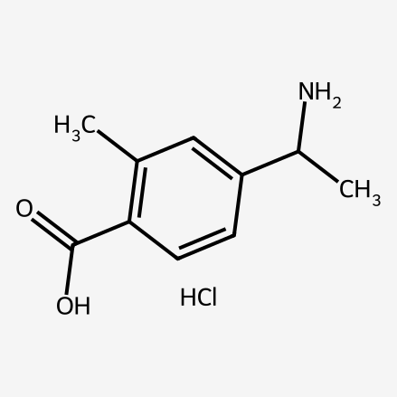 Cc1cc(C(C)N)ccc1C(=O)O.Cl